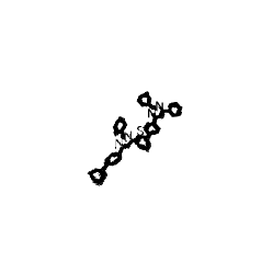 C1=CC(c2ccc(-c3cc(-c4cccc5c4sc4cc(-c6cc(-c7ccccc7)nc(-c7ccccc7)n6)ccc45)nc(-c4ccccc4)n3)cc2)=CCC1